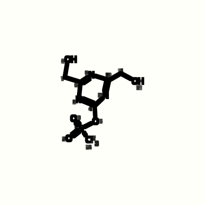 O=S(=O)(Oc1nc(CO)nc(CO)n1)C(F)(F)F